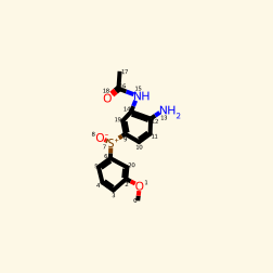 COc1cccc([S+]([O-])c2ccc(N)c(NC(C)=O)c2)c1